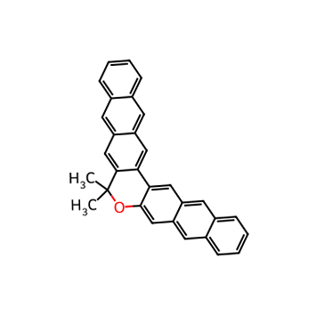 CC1(C)Oc2cc3cc4ccccc4cc3cc2-c2cc3cc4ccccc4cc3cc21